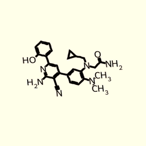 CN(C)c1ccc(-c2cc(-c3ccccc3O)nc(N)c2C#N)cc1N(CC(N)=O)CC1CC1